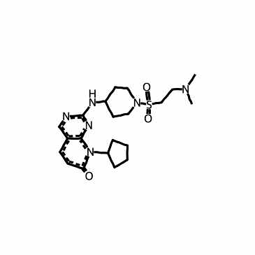 CN(C)CCS(=O)(=O)N1CCC(Nc2ncc3ccc(=O)n(C4CCCC4)c3n2)CC1